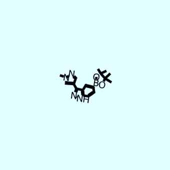 Cn1cc(-c2n[nH]c3ccc(B4OC(C)(C)C(C)(C)O4)cc23)cn1